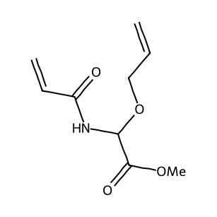 C=CCOC(NC(=O)C=C)C(=O)OC